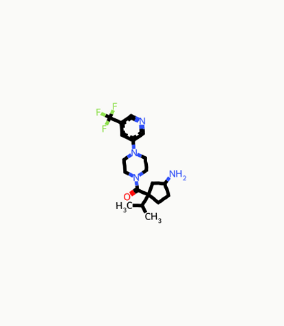 CC(C)C1(C(=O)N2CCN(c3cncc(C(F)(F)F)c3)CC2)CCC(N)C1